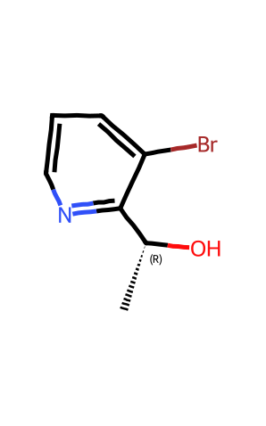 C[C@@H](O)c1ncccc1Br